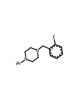 CC(C)N1CCN(Cc2ccccc2F)CC1